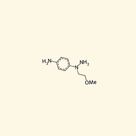 COCCN(N)c1ccc(N)cc1